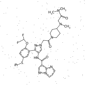 CC(C)Sc1ccc(OC(F)F)c(-c2nn(CC(=O)N3CCC(N(C)CC(=O)N(C)C)CC3)cc2NC(=O)c2cnn3cccnc23)c1